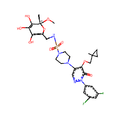 CO[C@]1(C)OC(CNS(=O)(=O)N2CCN(c3cnn(-c4cc(F)cc(F)c4)c(=O)c3OCC3(C)CC3)CC2)=C(O)C(O)=C1O